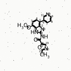 COc1ccc(-c2cccnc2)c2nc(NC(=O)c3cnc(C)o3)[nH]c12